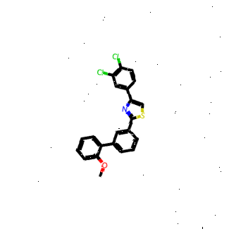 COc1ccccc1-c1cccc(-c2nc(-c3ccc(Cl)c(Cl)c3)cs2)c1